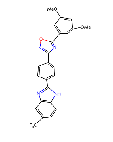 COc1cc(OC)cc(-c2nc(-c3ccc(-c4nc5cc(C(F)(F)F)ccc5[nH]4)cc3)no2)c1